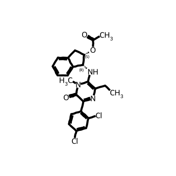 CCc1nc(-c2ccc(Cl)cc2Cl)c(=O)n(C)c1N[C@@H]1c2ccccc2C[C@@H]1OC(C)=O